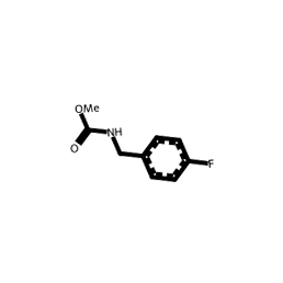 COC(=O)NCc1ccc(F)cc1